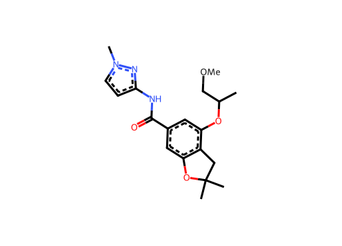 COCC(C)Oc1cc(C(=O)Nc2ccn(C)n2)cc2c1CC(C)(C)O2